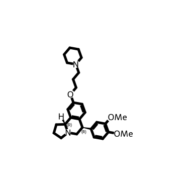 COc1ccc([C@H]2CN3CCC[C@@H]3c3cc(OCCCN4CCCCC4)ccc32)cc1OC